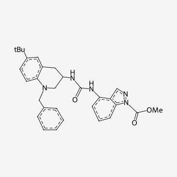 COC(=O)n1ncc2c(NC(=O)NC3Cc4cc(C(C)(C)C)ccc4N(Cc4ccccc4)C3)cccc21